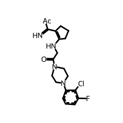 CC(=O)C(=N)C1=C(NCC(=O)N2CCN(c3cccc(F)c3Cl)CC2)CCC1